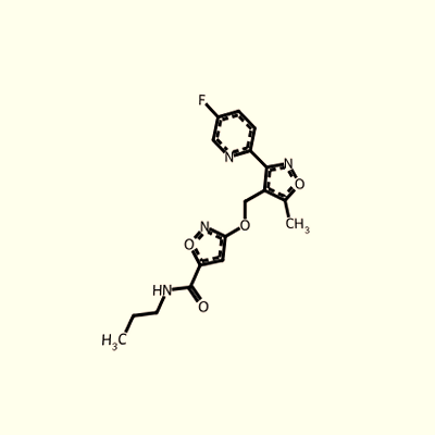 CCCNC(=O)c1cc(OCc2c(-c3ccc(F)cn3)noc2C)no1